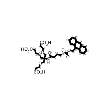 O=C(O)CCOCC(COCCC(=O)O)(COCCC(=O)O)NC(=O)CCCNC(=O)OCc1c2ccccc2cc2ccccc12